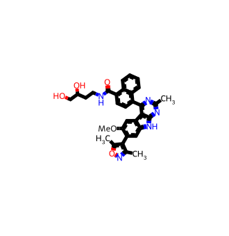 COc1cc2c(cc1-c1c(C)noc1C)[nH]c1nc(C)nc(-c3ccc(C(=O)NCCC(O)CO)c4ccccc34)c12